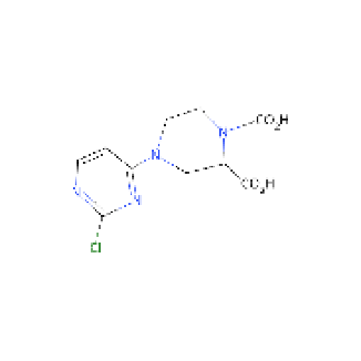 O=C(O)C1CN(c2ccnc(Cl)n2)CCN1C(=O)O